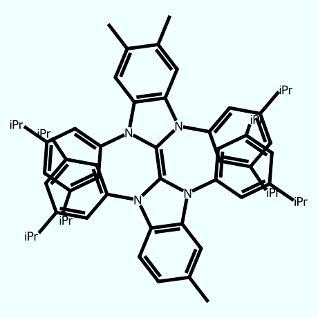 Cc1ccc2c(c1)N(c1cc(C(C)C)cc(C(C)C)c1)C(=C1N(c3cc(C(C)C)cc(C(C)C)c3)c3cc(C)c(C)cc3N1c1cc(C(C)C)cc(C(C)C)c1)N2c1cc(C(C)C)cc(C(C)C)c1